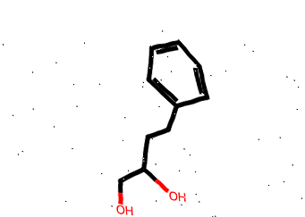 OCC(O)CCc1cc[c]cc1